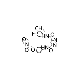 Cc1cc(CNC(=O)c2cc(C(=O)NCc3ccc(OCC(=O)N4CCOCC4)cc3)ncn2)ccc1F